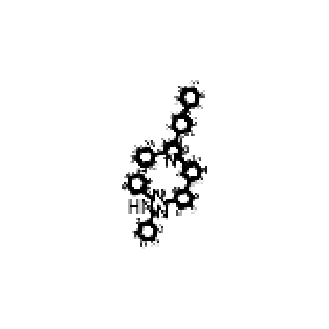 c1ccc(C2=NC(c3cccc(-c4cccc(-c5cc(-c6ccc(-c7ccccc7)cc6)cc(-c6ccccc6)n5)c4)c3)=NC(c3ccccc3)N2)cc1